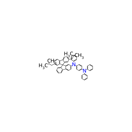 CC(C)Cc1ccc2c(c1)C1(c3ccccc3-c3ccc(N(c4ccccc4)c4ccc(N(c5ccccc5)c5ccccc5)cc4)cc31)c1cc(CC(C)C)ccc1-2